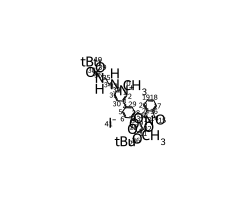 C[n+]1cc(-c2ccc(OCC(C)(ON3C(=O)c4ccccc4C3=O)C(=O)OC(C)(C)C)cc2)ccc1NCCNC(=O)OC(C)(C)C.[I-]